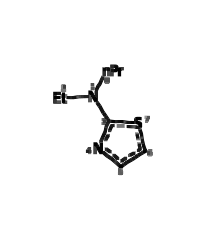 CCCN(CC)c1nccs1